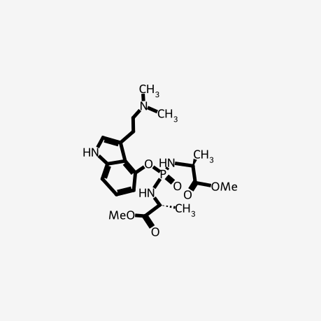 COC(=O)[C@H](C)NP(=O)(N[C@H](C)C(=O)OC)Oc1cccc2[nH]cc(CCN(C)C)c12